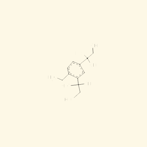 [CH2]Cc1ccc(C(C)(C)CC)cc1C(C)(C)CC